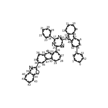 c1ccc(-c2ccc3c4ccccc4n(-c4nc(-c5ccccc5)nc(-c5cccc6c5sc5ccc(-c7nc8ccccc8o7)cc56)n4)c3c2)cc1